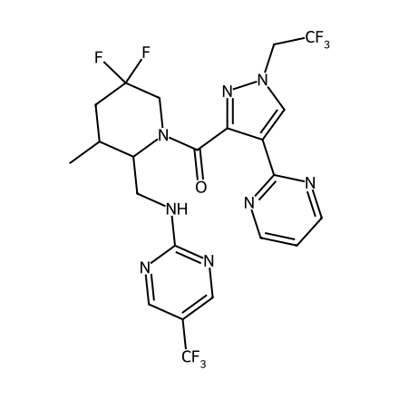 CC1CC(F)(F)CN(C(=O)c2nn(CC(F)(F)F)cc2-c2ncccn2)C1CNc1ncc(C(F)(F)F)cn1